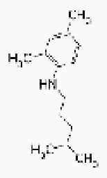 Cc1ccc(NCCCC(C)C)c(C)c1